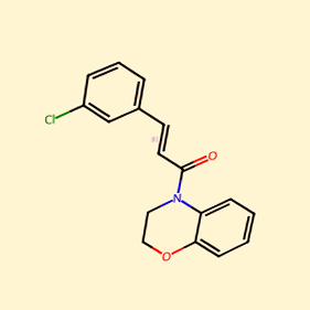 O=C(/C=C/c1cccc(Cl)c1)N1CCOc2ccccc21